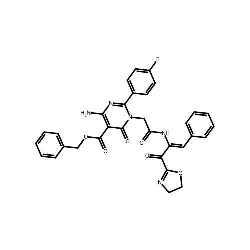 Nc1nc(-c2ccc(F)cc2)n(CC(=O)NC(=Cc2ccccc2)C(=O)C2=NCCO2)c(=O)c1C(=O)OCc1ccccc1